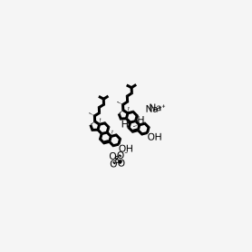 CC(C)CCC[C@@H](C)[C@H]1CCC2C3CC=C4CC(O)CC[C@]4(C)C3CC[C@@]21C.CC(C)CCC[C@@H](C)[C@H]1CCC2[C@H]3CC=C4CC(O)CC[C@]4(C)[C@@H]3CC[C@@]21C.O=S(=O)([O-])[O-].[Na+].[Na+]